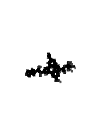 Cc1cc(-c2sc(NC(=O)N3CC4(COC4)C3)nc2-c2cccc(C#N)c2)c2ccn(C(=O)OC(C)(C)C)c2n1